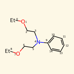 CCOCCN(CCOCC)c1ccccc1